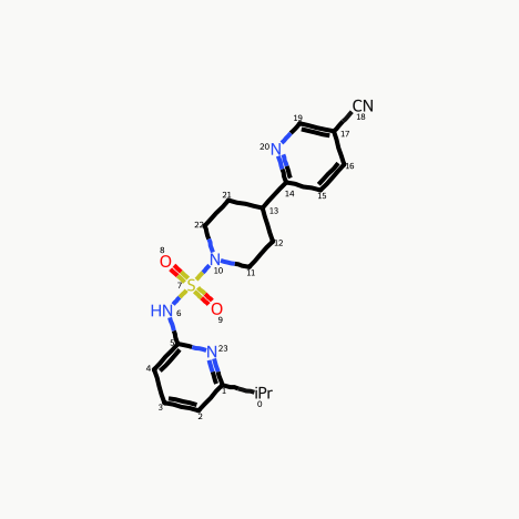 CC(C)c1cccc(NS(=O)(=O)N2CCC(c3ccc(C#N)cn3)CC2)n1